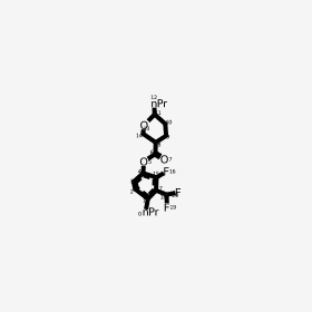 CCCc1ccc(OC(=O)C2CCC(CCC)OC2)c(F)c1C(F)F